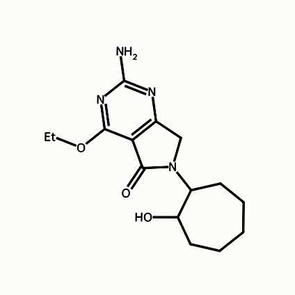 CCOc1nc(N)nc2c1C(=O)N(C1CCCCCC1O)C2